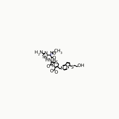 CO/N=C(\C(=O)N[C@@H]1C(=O)N2C(C(=O)[O-])=C(Cn3cc[n+]4c(SCCO)ccc-4c3)CS[C@H]12)c1nsc(N)n1